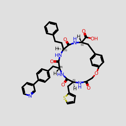 O=C1COc2ccc(cc2)C[C@@H](C(=O)O)NC(=O)[C@H](CCc2ccccc2)NC(=O)[C@@H](Cc2ccc(-c3cccnc3)cc2)NC(=O)[C@H](Cc2cccs2)N1